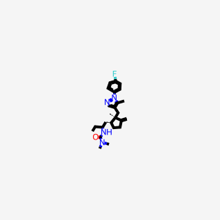 C=C1CC[C@H](CC(CC)NC(=O)N(C)C)[C@@]1(C)Cc1cnn(-c2ccc(F)cc2)c1C